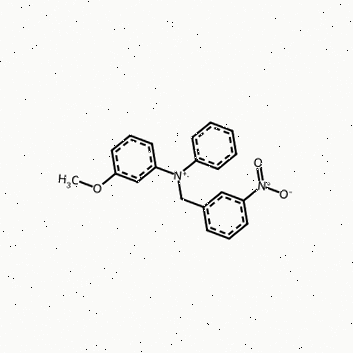 COc1cccc([N+](Cc2cccc([N+](=O)[O-])c2)c2ccccc2)c1